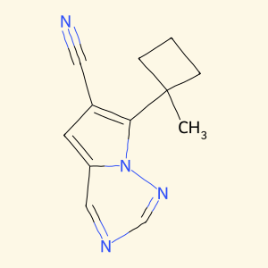 CC1(c2c(C#N)cc3cncnn23)CCC1